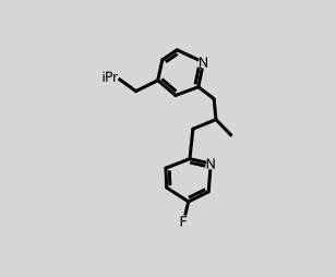 CC(C)Cc1ccnc(CC(C)Cc2ccc(F)cn2)c1